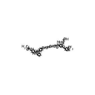 C=CC(=O)NCc1ccc(C(=O)Nc2ccccc2Oc2ccc(OCCOCCOCCOCC(=O)Nc3ccc(OCc4ccc(F)c(C(F)(F)F)c4)c(CNCCO)c3)cc2)cc1